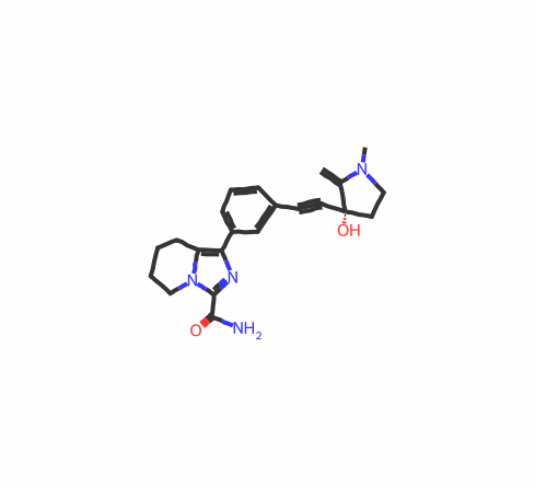 C=C1N(C)CC[C@@]1(O)C#Cc1cccc(-c2nc(C(N)=O)n3c2CCCC3)c1